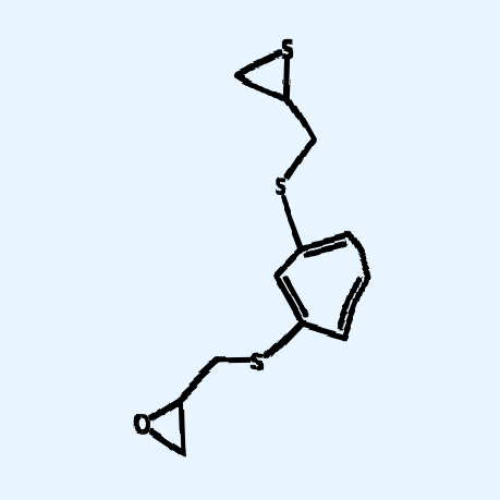 c1cc(SCC2CO2)cc(SCC2CS2)c1